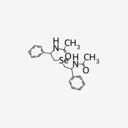 CC(=O)NC(C[Se]CC(NC(C)=O)c1ccccc1)c1ccccc1